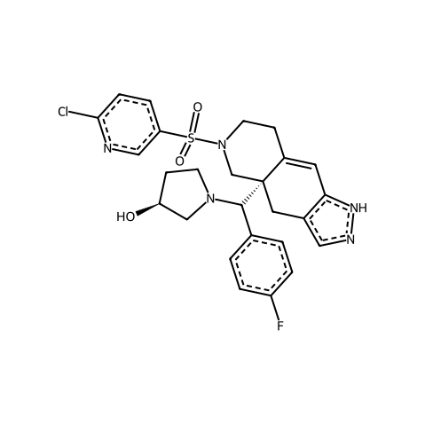 O=S(=O)(c1ccc(Cl)nc1)N1CCC2=Cc3[nH]ncc3C[C@@]2(C(c2ccc(F)cc2)N2CC[C@H](O)C2)C1